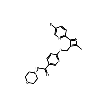 CC1=C(COc2ccc(C(=O)NN3CCOCC3)cn2)C(c2ccc(F)cn2)=N1